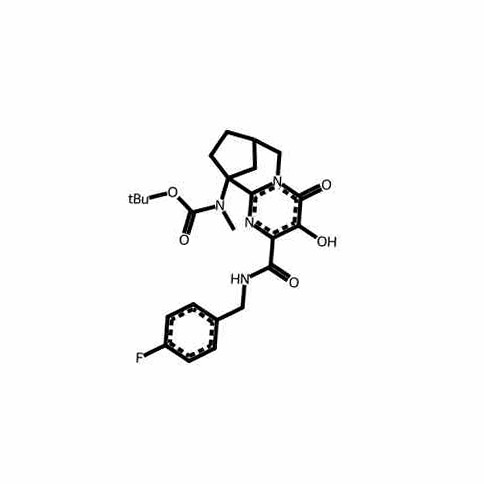 CN(C(=O)OC(C)(C)C)C12CCC(Cn3c1nc(C(=O)NCc1ccc(F)cc1)c(O)c3=O)C2